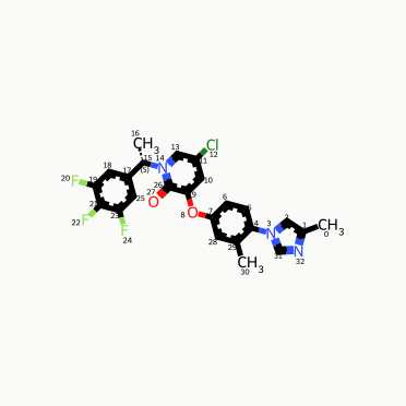 Cc1cn(-c2ccc(Oc3cc(Cl)cn([C@@H](C)c4cc(F)c(F)c(F)c4)c3=O)cc2C)cn1